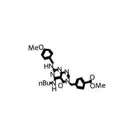 CCCCNc1nc(NCc2ccc(OC)cc2)nc2ncn(Cc3ccc(C(=O)OC)cc3)c(=O)c12